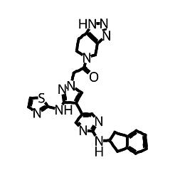 O=C(Cn1cc(-c2cnc(NC3Cc4ccccc4C3)nc2)c(Nc2nccs2)n1)N1CCc2[nH]nnc2C1